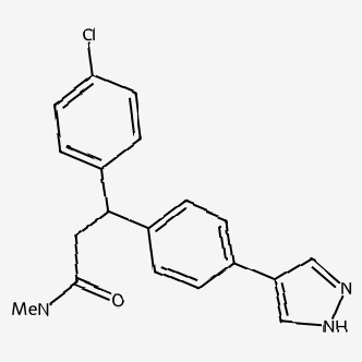 CNC(=O)CC(c1ccc(Cl)cc1)c1ccc(-c2cn[nH]c2)cc1